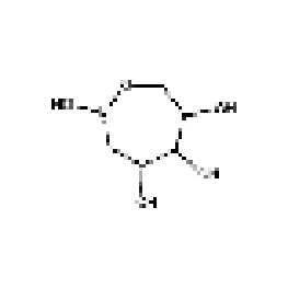 OC1CON(O)CC(O)C1O